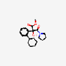 COC(=O)C(O)(C(=O)N1CCCC1)c1ccc[c]c1C1CCCCC1